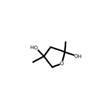 CC1(O)COC(C)(O)C1